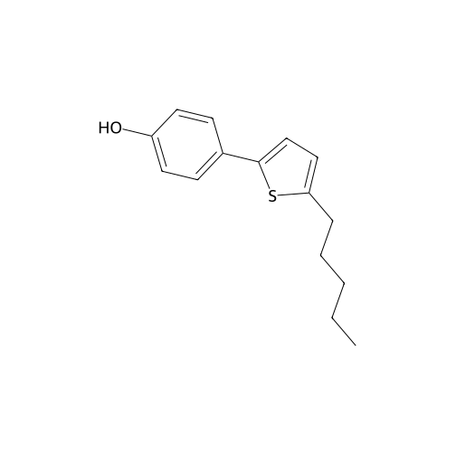 CCCCCc1ccc(-c2ccc(O)cc2)s1